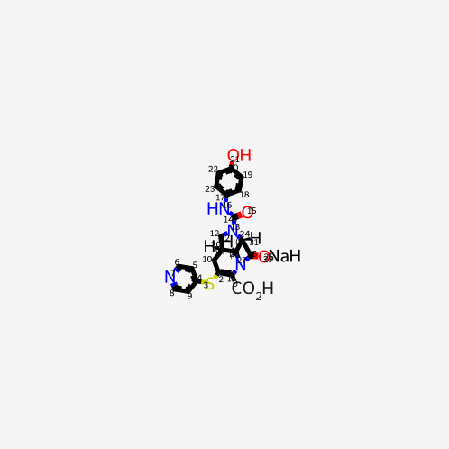 O=C(O)C1=C(Sc2ccncc2)C[C@@H]2CN(C(=O)Nc3ccc(O)cc3)[C@@H]3C(=O)N1[C@H]23.[NaH]